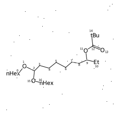 CCCCCCOC(CCCCCCC(CC)OC(=O)C(C)(C)C)OCCCCCC